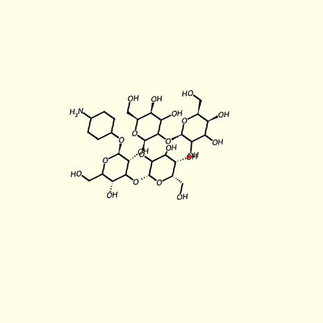 NC1CCC(O[C@@H]2OC(CO)[C@@H](O)C(O[C@H]3O[C@@H](CO)[C@@H](O)C(O)C3O[C@H]3O[C@@H](CO)[C@@H](O)C(O)C3O[C@H]3O[C@@H](CO)[C@@H](O)C(O)C3O)[C@H]2O)CC1